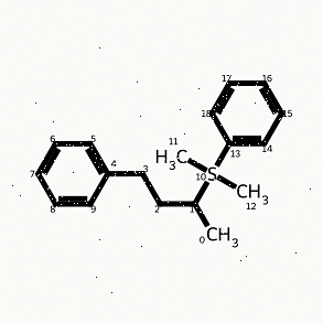 CC(CCc1ccccc1)S(C)(C)c1ccccc1